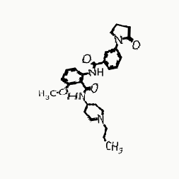 CCCN1CCC(NC(=O)c2c(NC(=O)c3cccc(N4CCCC4=O)c3)cccc2OC)CC1